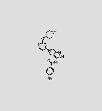 CN1CCC(Oc2nccc(N3Cc4n[nH]c(NC(=O)c5ccc(C(C)(C)C)cc5)c4C3)n2)CC1